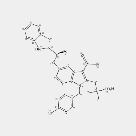 CC(=O)[C@@H](Oc1ccc2c(c1)c(C(=O)C(C)C)c(CC(C)(C)C(=O)O)n2Cc1ccc(Cl)cc1)C1Cc2ccccc2N1